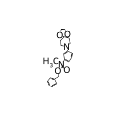 CN(C(=O)OCc1ccccc1)c1cccc(N2CCC3(CC2)OCCO3)c1